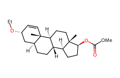 CCO[C@@H]1C=C[C@@]2(C)[C@@H](CC[C@@H]3[C@@H]2CC[C@]2(C)[C@@H](OC(=O)OC)CC[C@@H]32)C1